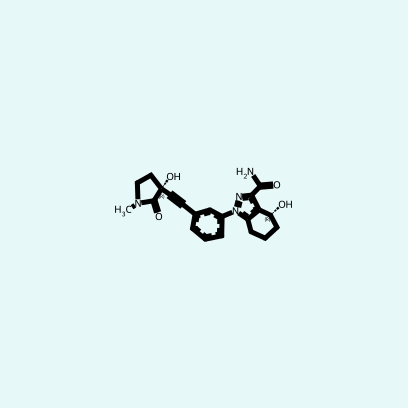 CN1CC[C@@](O)(C#Cc2cccc(-n3nc(C(N)=O)c4c3CCC[C@H]4O)c2)C1=O